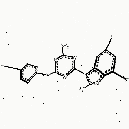 Cc1nc2c(F)cc(F)cc2n1-c1nc(N)nc(Nc2ccc(Cl)cc2)n1